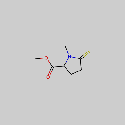 COC(=O)C1CCC(=S)N1C